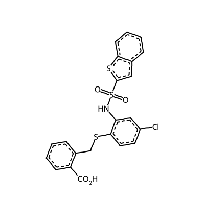 O=C(O)c1ccccc1CSc1ccc(Cl)cc1NS(=O)(=O)c1cc2ccccc2s1